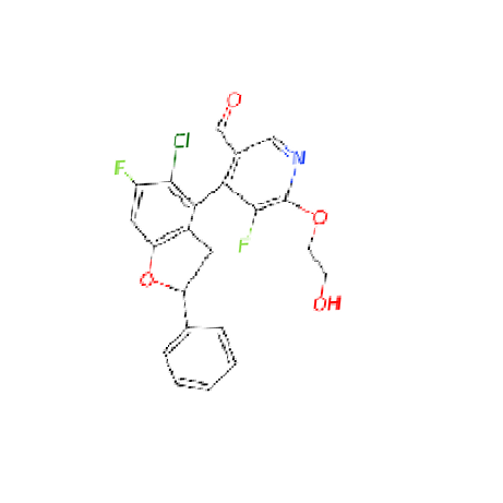 O=Cc1cnc(OCCO)c(F)c1-c1c(Cl)c(F)cc2c1CC(c1ccccc1)O2